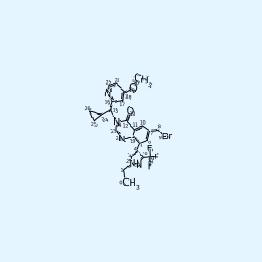 CCn1cc(-c2cc(CBr)cc3c(=O)n(C(c4cc(OC)ccn4)C4CC4)cnc23)c(C(F)(F)F)n1